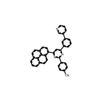 N#Cc1ccc(-c2nc(-c3cccc(-c4cccnc4)c3)cc(-c3ccc4ccc5cccc6ccc3c4c56)n2)cc1